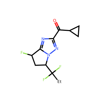 CCC(F)(F)C1CC(F)c2nc(C(=O)C3CC3)nn21